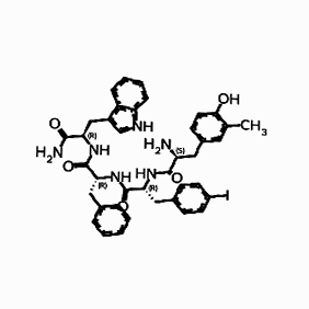 Cc1cc(C[C@H](N)C(=O)N[C@H](Cc2ccc(I)cc2)C(=O)N[C@H](Cc2ccccc2)C(=O)N[C@H](Cc2c[nH]c3ccccc23)C(N)=O)ccc1O